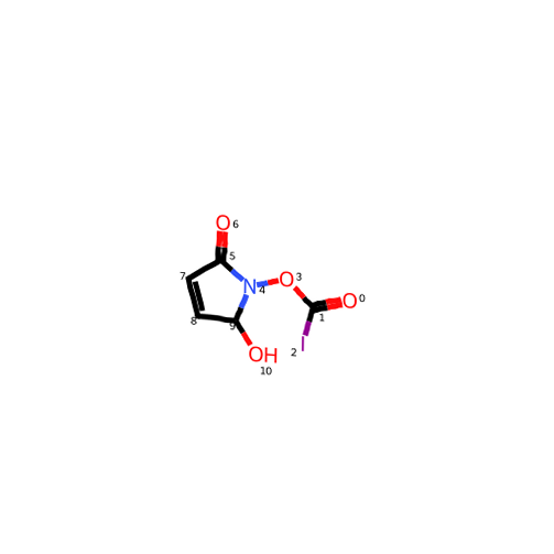 O=C(I)ON1C(=O)C=CC1O